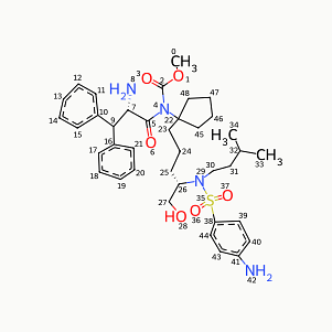 COC(=O)N(C(=O)[C@@H](N)C(c1ccccc1)c1ccccc1)C1(CCC[C@@H](CO)N(CCC(C)C)S(=O)(=O)c2ccc(N)cc2)CCCC1